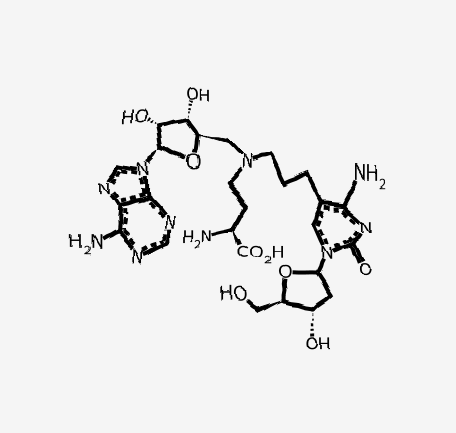 Nc1nc(=O)n(C2C[C@H](O)[C@@H](CO)O2)cc1CCCN(CC[C@H](N)C(=O)O)C[C@H]1O[C@@H](n2cnc3c(N)ncnc32)[C@H](O)[C@@H]1O